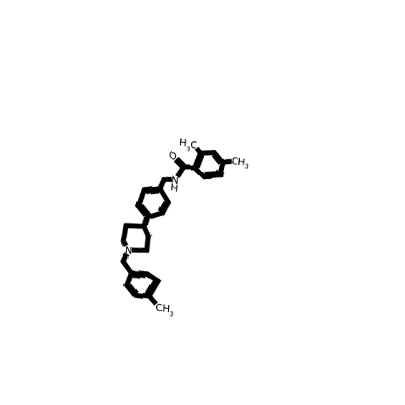 Cc1ccc(CN2CCC(c3ccc(CNC(=O)c4ccc(C)cc4C)cc3)CC2)cc1